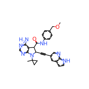 COCc1ccc(NC(=O)C2c3c(N)ncnc3N(C3(C)CC3)C2C#Cc2cnc3[nH]ccc3c2)cc1